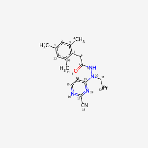 Cc1cc(C)c(CC(=O)NN(CC(C)C)c2ccnc(C#N)n2)c(C)c1